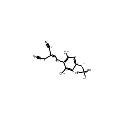 N#CC/C(C#N)=C\Nc1c(Cl)cc(OC(F)(F)F)cc1Cl